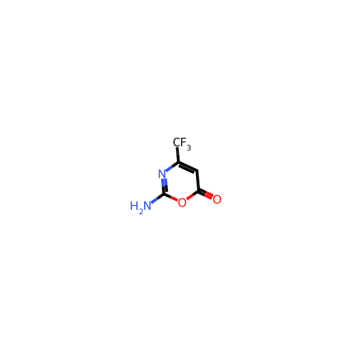 Nc1nc(C(F)(F)F)cc(=O)o1